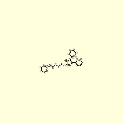 c1ccc(-c2nc(SCCCCSc3ncccn3)[nH]c2-c2ccccc2)cc1